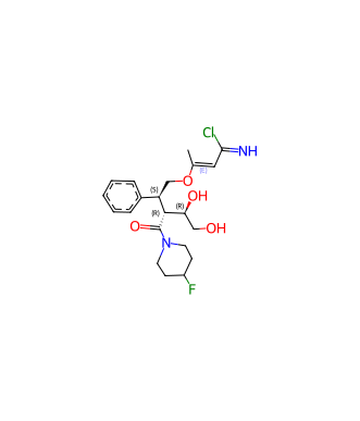 C/C(=C\C(=N)Cl)OC[C@H](c1ccccc1)[C@@H](C(=O)N1CCC(F)CC1)[C@@H](O)CO